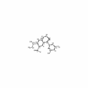 C=C(C)c1cc2c(-c3cc(C)cc(C)c3)nccc2cc1C(C)CC